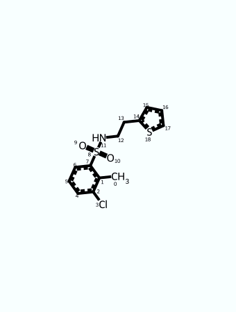 Cc1c(Cl)cccc1S(=O)(=O)NCCc1cccs1